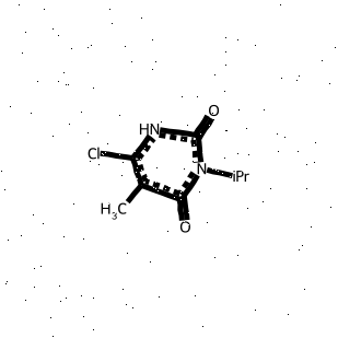 Cc1c(Cl)[nH]c(=O)n(C(C)C)c1=O